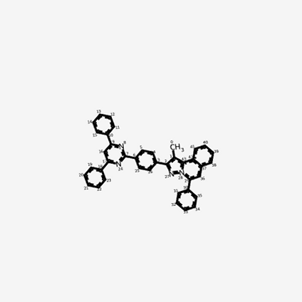 Cc1c(-c2ccc(-c3nc(-c4ccccc4)cc(-c4ccccc4)n3)cc2)nn2c(-c3ccccc3)cc3ccccc3c12